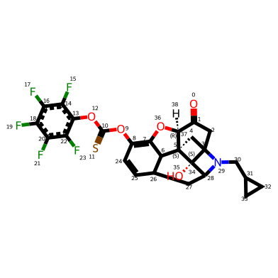 O=C1CC23C[C@@]45C6C(=C(OC(=S)Oc7c(F)c(F)c(F)c(F)c7F)C=CC6CC(N2CC2CC2)[C@]34O)O[C@@H]15